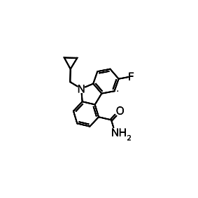 NC(=O)c1cccc2c1c1[c]c(F)ccc1n2CC1CC1